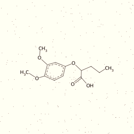 CCCC(Oc1ccc(OC)c(OC)c1)C(=O)O